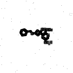 COc1ncc(C(=O)O)cc1C1(O)CC(OCc2ccccc2)C1